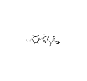 C=C(C(=O)O)c1ccc(-c2ccc(Cl)cc2)o1